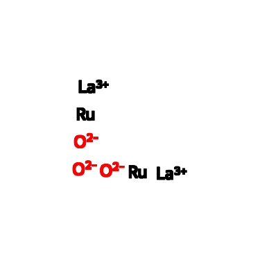 [La+3].[La+3].[O-2].[O-2].[O-2].[Ru].[Ru]